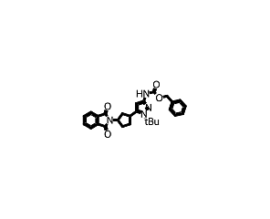 CC(C)(C)n1nc(NC(=O)OCc2ccccc2)cc1C1CCC(N2C(=O)c3ccccc3C2=O)C1